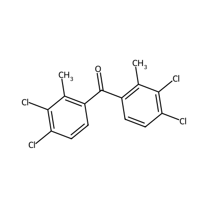 Cc1c(C(=O)c2ccc(Cl)c(Cl)c2C)ccc(Cl)c1Cl